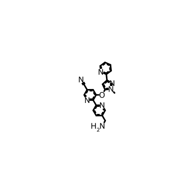 Cn1nc(-c2ccccn2)cc1Oc1cc(C#N)cnc1-c1ccc(CN)cn1